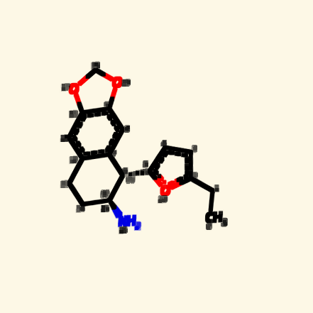 CCc1ccc([C@H]2c3cc4c(cc3CC[C@@H]2N)OCO4)o1